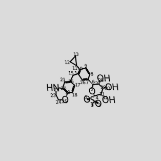 CS(=O)(=O)[C@H]1O[C@@H](c2ccc(C3CC3)c(Cc3ccc4c(c3)NCCO4)c2)[C@H](O)[C@@H](O)[C@@H]1O